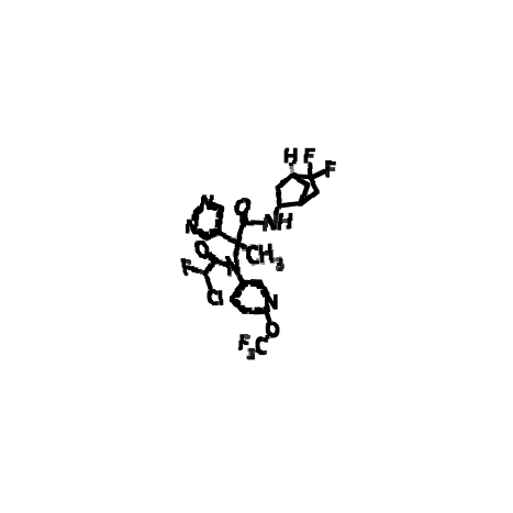 C[C@](C(=O)N[C@H]1C[C@@H]2CC1CC2(F)F)(c1cncnc1)N(C(=O)[C@H](F)Cl)c1ccc(OC(F)(F)F)nc1